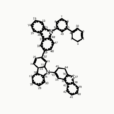 C1=CCCC(c2cccc(-n3c4ccccc4c4cc(C5=CC6C(C=C5)c5ccccc5N6C5=Cc6c(sc7ccccc67)CC5)ccc43)c2)=C1